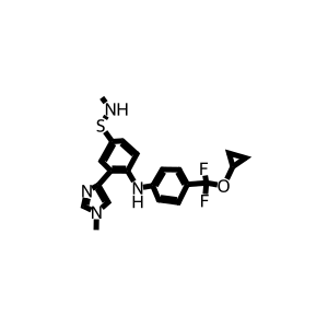 CNSc1ccc(Nc2ccc(C(F)(F)OC3CC3)cc2)c(-c2cn(C)cn2)c1